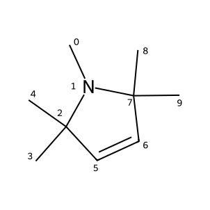 CN1C(C)(C)C=CC1(C)C